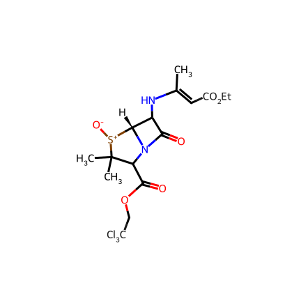 CCOC(=O)C=C(C)NC1C(=O)N2C(C(=O)OCC(Cl)(Cl)Cl)C(C)(C)[S+]([O-])[C@H]12